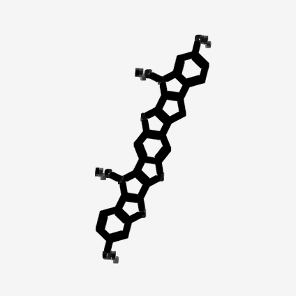 Cc1ccc2c(c1)sc1c3sc4cc5c6c(sc5cc4c3n(C)c21)-c1c(c2ccc(C)cc2n1C)C6